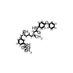 CN(CCCN(C)Cc1cccc(NS(C)(=O)=O)c1)CC(=O)Nc1ccc(Oc2ccccc2)cc1